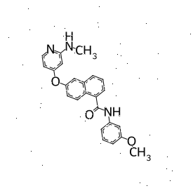 CNc1cc(Oc2ccc3c(C(=O)Nc4cccc(OC)c4)cccc3c2)ccn1